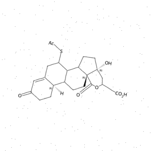 CC(=O)SC1CC2=CC(=O)CC[C@@H]2C2CC[C@]34C(=O)OC(C(=O)O)C[C@]3(O)CCC4C12